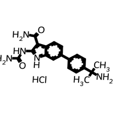 CC(C)(N)c1ccc(-c2ccc3c(C(N)=O)c(NC(N)=O)[nH]c3c2)cc1.Cl